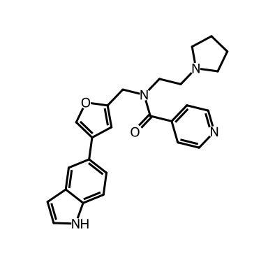 O=C(c1ccncc1)N(CCN1CCCC1)Cc1cc(-c2ccc3[nH]ccc3c2)co1